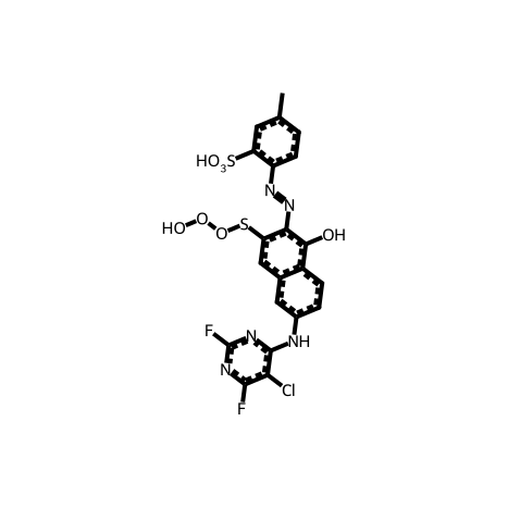 Cc1ccc(/N=N/c2c(SOOO)cc3cc(Nc4nc(F)nc(F)c4Cl)ccc3c2O)c(S(=O)(=O)O)c1